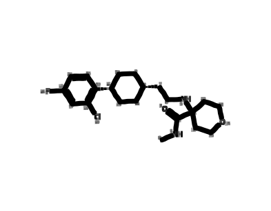 CNC(=O)C1(NCC[C@H]2CC[C@@H](c3ccc(F)cc3Cl)CC2)CCOCC1